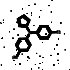 CCc1ccc(N(C2=C=CC=C2)c2ccc(C(C)(C)C)cc2)cc1